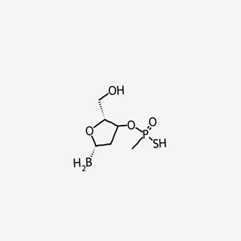 B[C@H]1CC(OP(C)(=O)S)[C@@H](CO)O1